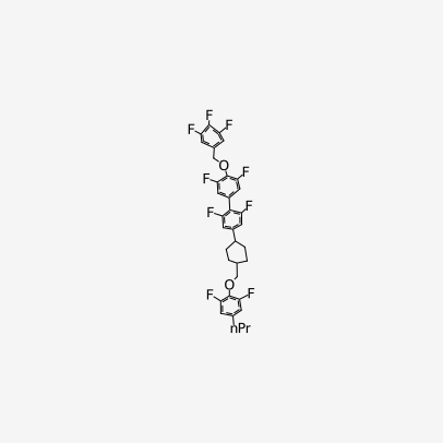 CCCc1cc(F)c(OCC2CCC(c3cc(F)c(-c4cc(F)c(OCc5cc(F)c(F)c(F)c5)c(F)c4)c(F)c3)CC2)c(F)c1